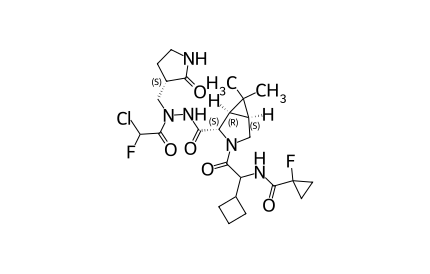 CC1(C)[C@@H]2[C@@H](C(=O)NN(C[C@@H]3CCNC3=O)C(=O)C(F)Cl)N(C(=O)C(NC(=O)C3(F)CC3)C3CCC3)C[C@@H]21